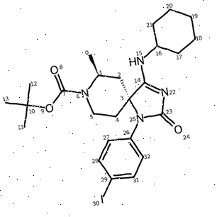 C[C@H]1C[C@]2(CCN1C(=O)OC(C)(C)C)C(NC1CCCCC1)=NC(=O)N2c1ccc(I)cc1